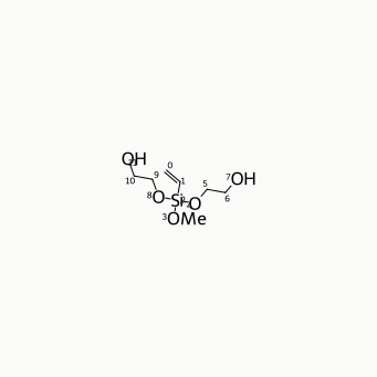 C=C[Si](OC)(OCCO)OCCO